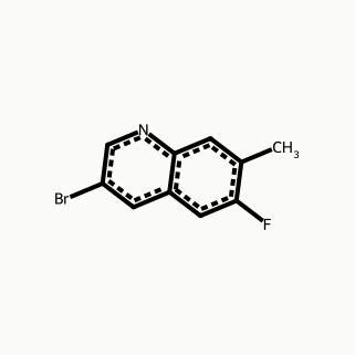 Cc1cc2ncc(Br)cc2cc1F